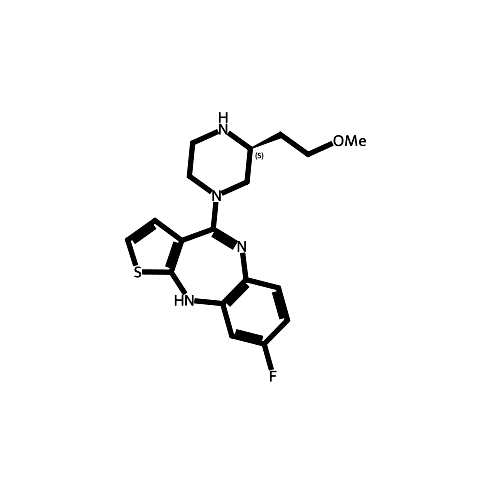 COCC[C@H]1CN(C2=Nc3ccc(F)cc3Nc3sccc32)CCN1